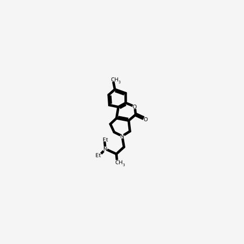 CCN(CC)C(C)CN1CCc2c(c(=O)oc3cc(C)ccc23)C1